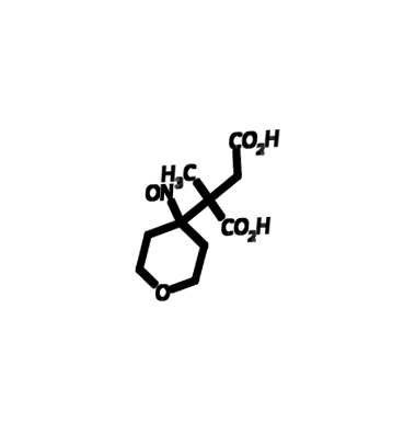 CC(CC(=O)O)(C(=O)O)C1(N=O)CCOCC1